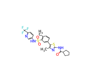 Cc1ccc(-c2sc(NC(=O)C3CCCC3)nc2C)cc1S(=O)(=O)Nc1ccc(C(F)(F)F)nc1